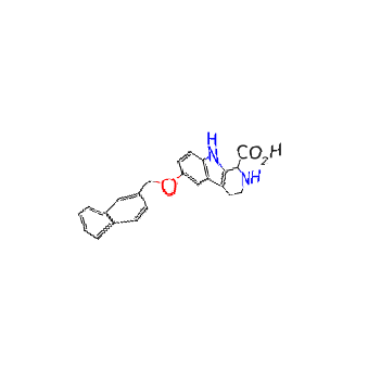 O=C(O)C1NCCc2c1[nH]c1ccc(OCc3ccc4ccccc4c3)cc21